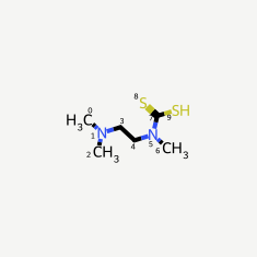 CN(C)CCN(C)C(=S)S